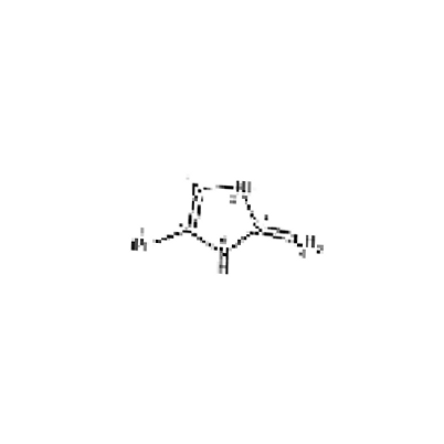 C=S1NN=C(C(C)C)N1